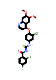 COc1cc2nccc(Oc3ccc(NC(=S)NC(=O)c4ccc(Cl)cc4Cl)cc3Cl)c2cc1OC